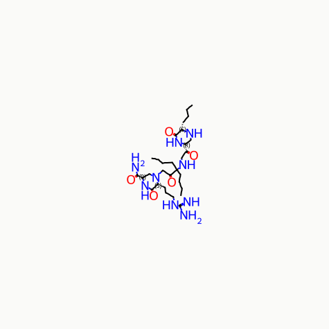 CCCC[C@@H]1NC[C@H](C(=O)CNC(CCCC)(CCCC)C(=O)CN2C[C@H](C(N)=O)NC(=O)[C@@H]2CCCNC(=N)N)NC1=O